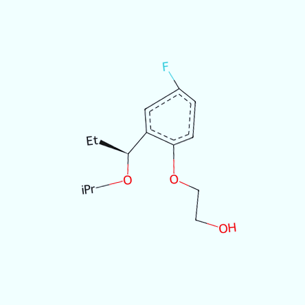 CC[C@H](OC(C)C)c1cc(F)ccc1OCCO